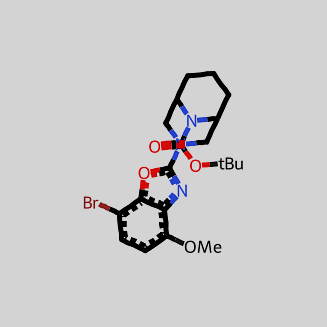 COc1ccc(Br)c2oc(N3CC4CCCC(C3)N4C(=O)OC(C)(C)C)nc12